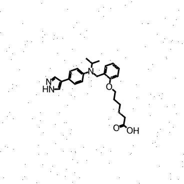 CC(C)N(Cc1ccccc1OCCCCCC(=O)O)c1ccc(-c2cn[nH]c2)cc1